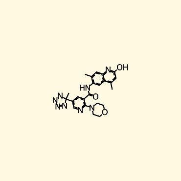 Cc1cc2nc(O)cc(C)c2cc1NC(=O)c1cc(C2(C)N=NN=N2)cnc1N1CCOCC1